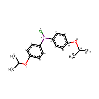 CC(C)Oc1ccc(P(Cl)c2ccc(OC(C)C)cc2)cc1